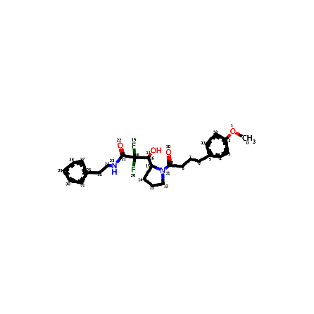 COc1ccc(CCCC(=O)N2CCCC2C(O)C(F)(F)C(=O)NCCc2ccccc2)cc1